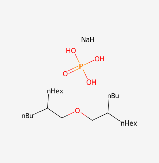 CCCCCCC(CCCC)COCC(CCCC)CCCCCC.O=P(O)(O)O.[NaH]